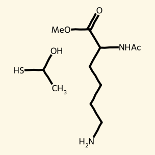 CC(O)S.COC(=O)C(CCCCN)NC(C)=O